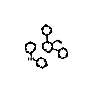 C=Cc1c(-c2ccccc2)cccc1-c1ccccc1.c1ccc(Nc2ccccc2)cc1